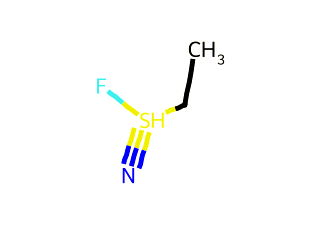 CC[SH](#N)F